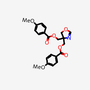 COc1ccc(C(=O)OCC2(COC(=O)c3ccc(OC)cc3)COC=N2)cc1